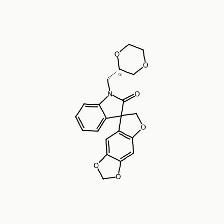 O=C1N(C[C@H]2COCCO2)c2ccccc2C12COc1cc3c(cc12)OCO3